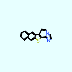 c1ccc2cc3c(cc2c1)sc1c3ccn2ccnc12